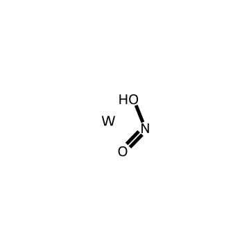 O=NO.[W]